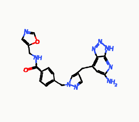 Nc1cc(Cc2cnn(Cc3ccc(C(=O)NCc4cnco4)cc3)c2)c2nn[nH]c2n1